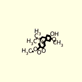 CCOC(=O)c1cn2c(cc1=O)-c1cc(OC)c(O)cc1C[C@H]2C(C)C